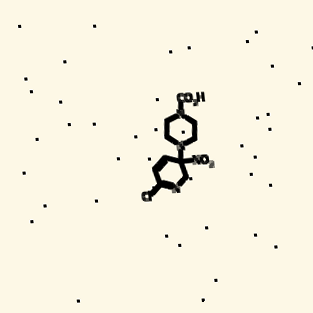 O=C(O)N1CCN(C2([N+](=O)[O-])C=CC(Cl)=NC2)CC1